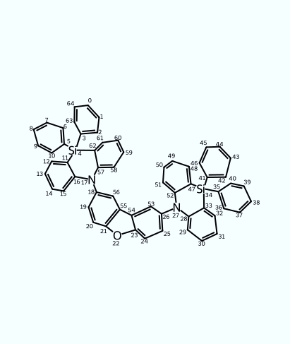 c1ccc([Si]2(c3ccccc3)c3ccccc3N(c3ccc4oc5ccc(N6c7ccccc7[Si](c7ccccc7)(c7ccccc7)c7ccccc76)cc5c4c3)c3ccccc32)cc1